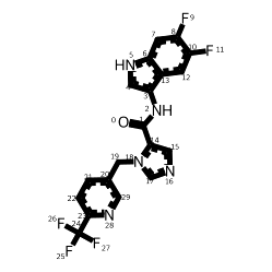 O=C(Nc1c[nH]c2cc(F)c(F)cc12)c1cncn1Cc1ccc(C(F)(F)F)nc1